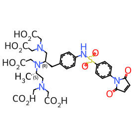 C[C@@H](CN(CC(=O)O)CC(=O)O)N(CC(=O)O)[C@H](Cc1ccc(NS(=O)(=O)c2ccc(N3C(=O)C=CC3=O)cc2)cc1)CN(CC(=O)O)CC(=O)O